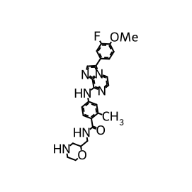 COc1ccc(-c2cnc3c(Nc4ccc(C(=O)NCC5CNCCO5)c(C)c4)nccn23)cc1F